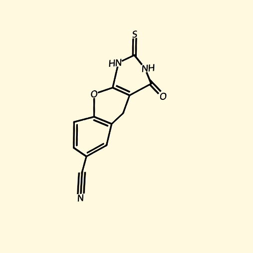 N#Cc1ccc2c(c1)Cc1c([nH]c(=S)[nH]c1=O)O2